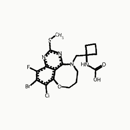 CSc1nc2c3c(c(Cl)c(Br)c(F)c3n1)OCCCN2CC1(NC(=O)O)CCC1